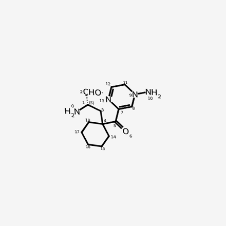 N[C@H]([C]=O)CC1(C(=O)C2=CN(N)CC=N2)CCCCC1